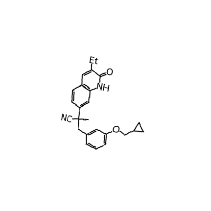 CCc1cc2ccc(C(C)(C#N)Cc3cccc(OCC4CC4)c3)cc2[nH]c1=O